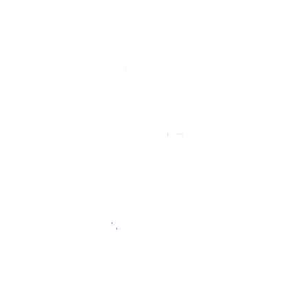 C#CCC(O)C1C(Cl)=Cc2ccc(C#N)cc21